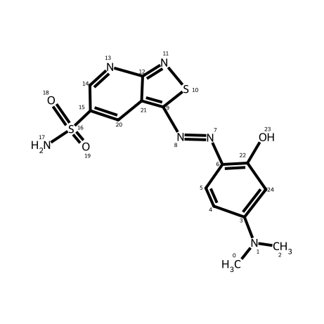 CN(C)c1ccc(/N=N/c2snc3ncc(S(N)(=O)=O)cc23)c(O)c1